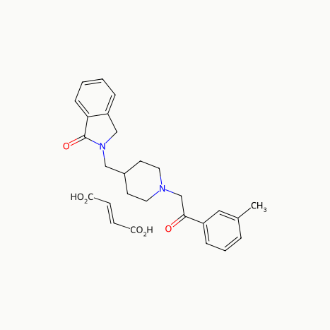 Cc1cccc(C(=O)CN2CCC(CN3Cc4ccccc4C3=O)CC2)c1.O=C(O)C=CC(=O)O